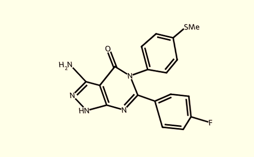 CSc1ccc(-n2c(-c3ccc(F)cc3)nc3[nH]nc(N)c3c2=O)cc1